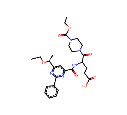 CCOC(=O)N1CCN(C(=O)C(CCC(=O)O)NC(=O)c2cc([C@H](C)OCC)nc(-c3ccccc3)n2)CC1